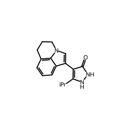 CC(C)c1[nH][nH]c(=O)c1-c1cn2c3c(cccc13)CCC2